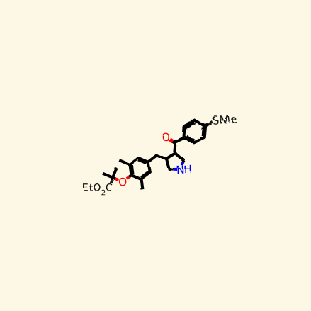 CCOC(=O)C(C)(C)Oc1c(C)cc(CC2CNCC2C(=O)c2ccc(SC)cc2)cc1C